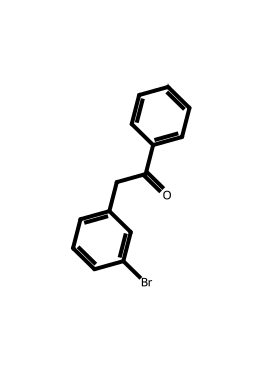 O=C(Cc1cccc(Br)c1)c1cc[c]cc1